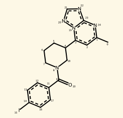 Cc1cc(C2CCCN(C(=O)c3ccc(I)cc3)C2)n2ncnc2n1